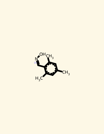 Cc1cc(C)c(/C=N\O)c(C)c1